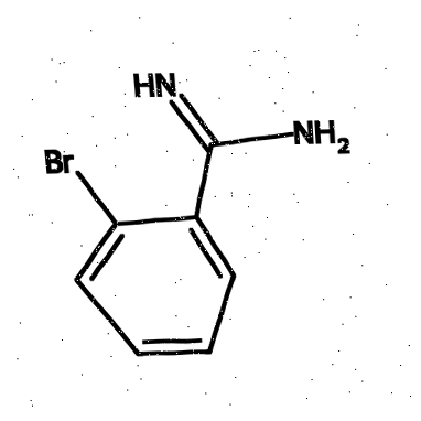 N=C(N)c1ccccc1Br